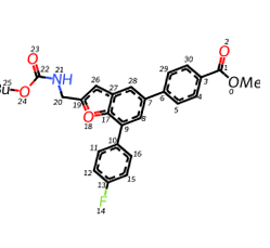 COC(=O)c1ccc(-c2cc(-c3ccc(F)cc3)c3oc(CNC(=O)OC(C)(C)C)cc3c2)cc1